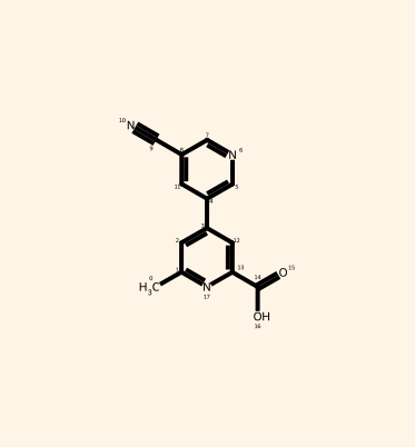 Cc1cc(-c2cncc(C#N)c2)cc(C(=O)O)n1